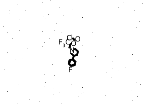 O=C(Cl)OC(CN1CCCC(c2ccc(F)cc2)C1)C(F)(F)F